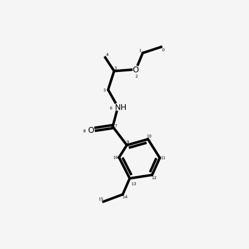 CCOC(C)CNC(=O)c1cccc(CC)c1